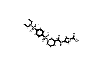 CCN(CC)S(=O)(=O)c1ccc(S(=O)(=O)N2CCCC(C(=O)NC3CN(C(=O)O)C3)C2)cc1